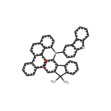 CC1(C)c2ccccc2-c2c(N(c3ccc4oc5ccccc5c4c3)c3cccc4ccc5c6ccccc6ccc5c34)cccc21